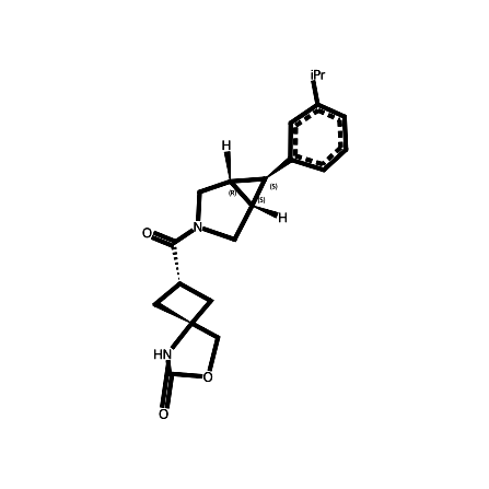 CC(C)c1cccc([C@H]2[C@@H]3CN(C(=O)[C@H]4C[C@]5(COC(=O)N5)C4)C[C@@H]32)c1